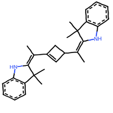 CC(C1=CC(C(C)=C2Nc3ccccc3C2(C)C)C1)=C1Nc2ccccc2C1(C)C